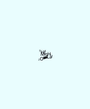 [Hf].[MgH2].[O]=[La]